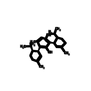 CC1=C[C@@H](c2c(O)cc(C)c([C@@H]3C=C(C)CC[C@H]3C(C)C)c2O)C(C(C)C)CC1